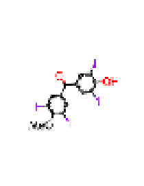 COc1c(I)cc(C(=O)c2cc(I)c(O)c(I)c2)cc1I